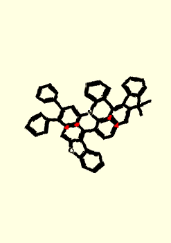 CC1(C)c2ccccc2-c2c(-c3ccccc3N(c3ccc(-c4ccccc4)c(-c4ccccc4)c3)c3ccccc3-c3cccc4oc5ccccc5c34)cccc21